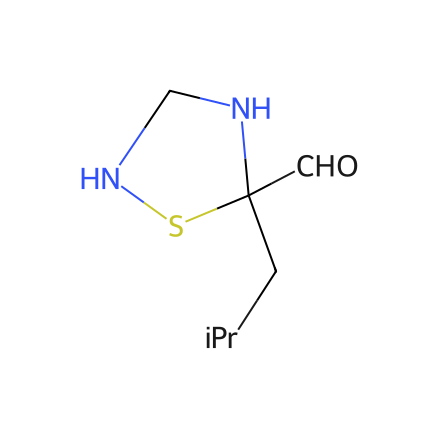 CC(C)CC1(C=O)NCNS1